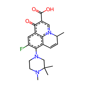 CC1C=Cc2c(N3CCN(C)C(C)(C)C3)c(F)cc3c(=O)c(C(=O)O)cn1c23